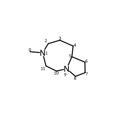 CN1CCCC2CCCN2CC1